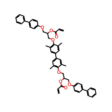 C=CC(=O)OC(COc1ccc(-c2ccccc2)cc1)COc1c(C)cc(-c2cc(C)c(OCC(COc3ccc(-c4ccccc4)cc3)OC(=O)C=C)c(C)c2)cc1C